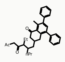 CCCC(CC1CC(=O)c2c(C)c(-c3ccccc3)cc(-c3ccccc3)c2C1)C(CC)C(=O)CC(C)=O